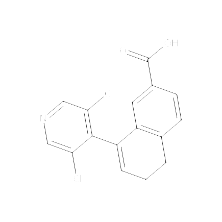 O=C(O)c1ccc2c(c1)C(c1c(Cl)cncc1Cl)=CCC2